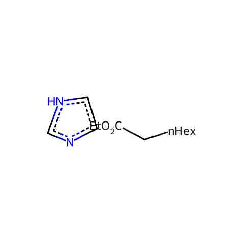 CCCCCCCC(=O)OCC.c1c[nH]cn1